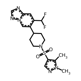 Cc1c(S(=O)(=O)N2CCC(c3cn4ncnc4cc3C(F)F)CC2)cnn1C